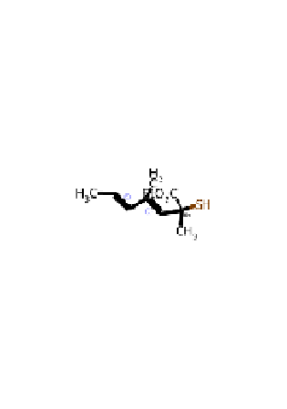 C/C=C/C(C)=C/[C@@](C)(S)C(=O)OCC